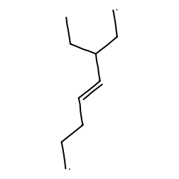 [CH2]CCC=CC(C[CH2])CC